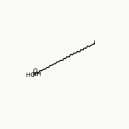 O=C(CCCCCCCCCCCCCCCCCCCCCCCCCCCCCCCCCI)NO